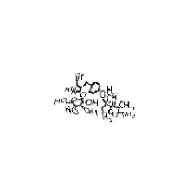 CC(C)c1[nH]nc(O[C@@H]2O[C@H](CO)[C@@H](O)[C@H](O)[C@H]2O)c1Cc1ccc(OCC(C)(C)C(=O)N[C@@H](C)C(N)=O)cc1